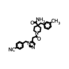 Cc1cccc(CC2(C(N)=O)CCN(C(=O)Cc3cncn3Cc3ccc(C#N)cc3)CC2)c1